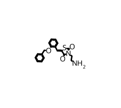 NCCN1C(=O)S/C(=C\c2ccccc2OCc2ccccc2)C1=O